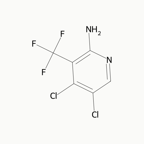 Nc1ncc(Cl)c(Cl)c1C(F)(F)F